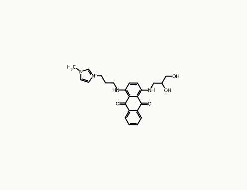 Cn1cc[n+](CCCNc2ccc(NCC(O)CO)c3c2C(=O)c2ccccc2C3=O)c1